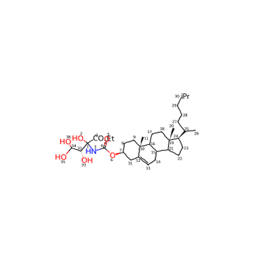 CCOC(=O)C(O)(NC(=O)O[C@H]1CC[C@@]2(C)C(=CCC3C2CC[C@@]2(C)C3CC[C@@H]2C(C)CCCC(C)C)C1)[C@H](O)C(O)O